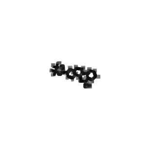 CC1(C)OB(c2ccc3c(c2)C=CN2C3=NC(O)c3ccccc32)OC1(C)C